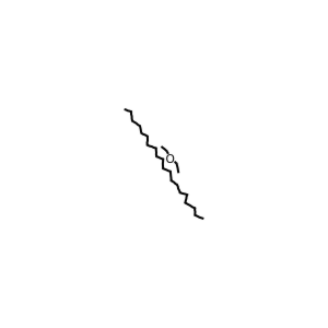 CCCCCCCCCCCCCCCCCCCC.CCOCC